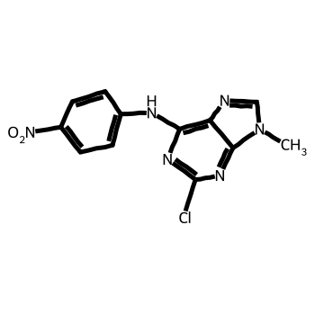 Cn1cnc2c(Nc3ccc([N+](=O)[O-])cc3)nc(Cl)nc21